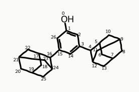 Oc1cc(C2C3CC4CC(C3)CC2C4)cc(C2C3CC4CC(C3)CC2C4)c1